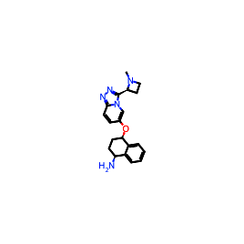 CN1CC[C@H]1c1nnc2ccc(O[C@@H]3CC[C@H](N)c4ccccc43)cn12